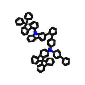 c1ccc(-c2ccc(N(c3ccc(-c4ccccc4-c4ccc5c6ccccc6n(-c6cccc7c6-c6ccccc6C7(c6ccccc6)c6ccccc6)c5c4)cc3)c3ccc4c(c3)C3(c5ccccc5-c5ccccc53)c3ccccc3-4)cc2)cc1